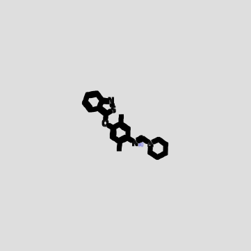 Cc1cc(Oc2snc3ccccc23)c(C)cc1/N=C/N1CCCCC1